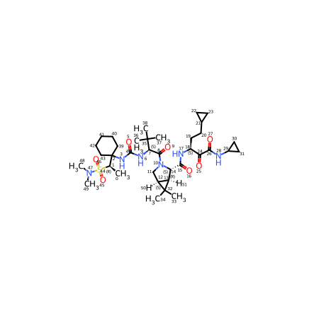 C[C@H](C1(NC(=O)N[C@H](C(=O)N2C[C@H]3[C@@H]([C@H]2C(=O)N[C@@H](CCC2CC2)C(=O)C(=O)NC2CC2)C3(C)C)C(C)(C)C)CCCCC1)S(=O)(=O)N(C)C